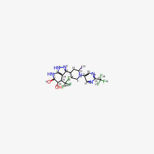 O=C1Nc2[nH]nc(C3CCN(c4cnc(C(F)(F)F)nc4)C(I)C3)c2C(C(F)(F)F)C1O